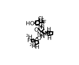 [2H]C1([2H])CC[C@@]2(COc3nc(N4C[C@H]5CC[C@@H](C4)N5)c4cnn(-c5cc(O)cc(Cl)c5C(F)(F)F)c(=O)c4n3)C[C@@]([2H])(F)CN12